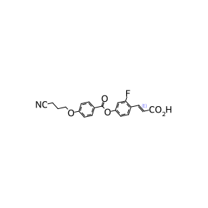 N#CCCCOc1ccc(C(=O)Oc2ccc(/C=C/C(=O)O)c(F)c2)cc1